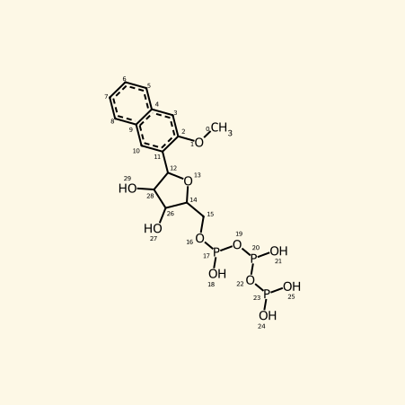 COc1cc2ccccc2cc1C1OC(COP(O)OP(O)OP(O)O)C(O)C1O